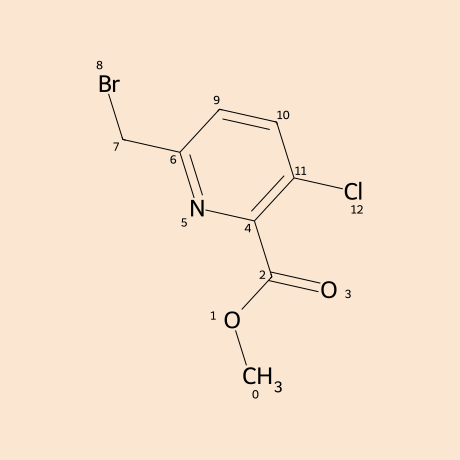 COC(=O)c1nc(CBr)ccc1Cl